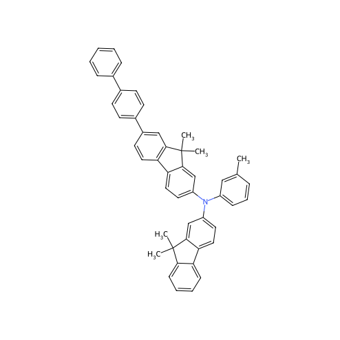 Cc1cccc(N(c2ccc3c(c2)C(C)(C)c2ccccc2-3)c2ccc3c(c2)C(C)(C)c2cc(-c4ccc(-c5ccccc5)cc4)ccc2-3)c1